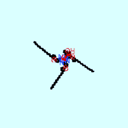 CCCCCCCCCCCCCCCc1cccc(Oc2ccc3c(c2)C(/N=C2/c4ccc(Oc5cccc(CCCCCCCCCCCCCCC)c5)cc4C(=N)N2B(C)OCc2cc(C(C)(C)C)c(O)c(C(C)(C)C)c2)=NC/3=N\c2c3cc(Oc4cccc(CCCCCCCCCCCCCCC)c4)ccc3cn2C)c1